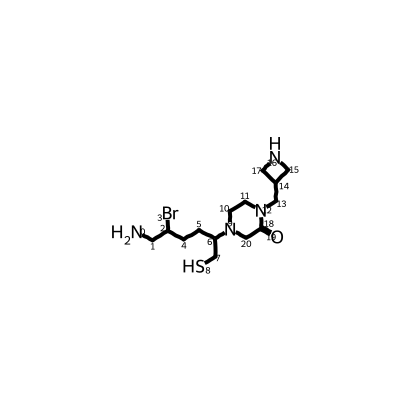 NCC(Br)CCC(CS)N1CCN(CC2CNC2)C(=O)C1